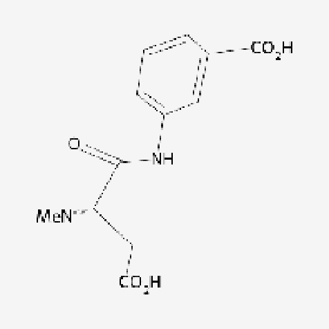 CN[C@@H](CC(=O)O)C(=O)Nc1cccc(C(=O)O)c1